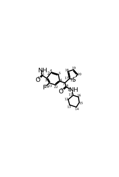 NC(=O)c1ccc(C(C(=O)NC2CCCCC2)c2cccs2)cc1F